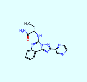 CC[C@H](Nc1nc2ccccc2c2nc(-c3cnccn3)nn12)C(N)=O